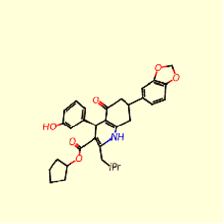 CC(C)CC1=C(C(=O)OC2CCCC2)[C@@H](c2cccc(O)c2)C2=C(CC(c3ccc4c(c3)OCO4)CC2=O)N1